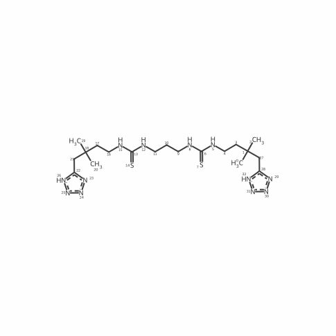 CC(C)(CCNC(=S)NCCCNC(=S)NCCC(C)(C)Cc1nnn[nH]1)Cc1nnn[nH]1